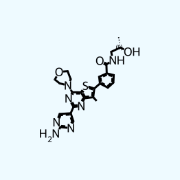 Cc1c(-c2cccc(C(=O)NC[C@H](C)O)c2)sc2c(N3CCOCC3)nc(-c3cnc(N)nc3)nc12